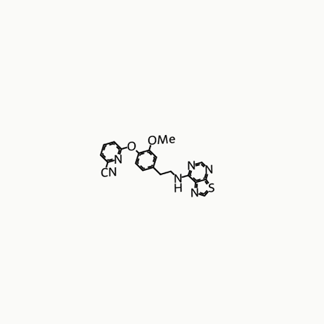 COc1cc(CCNc2ncnc3scnc23)ccc1Oc1cccc(C#N)n1